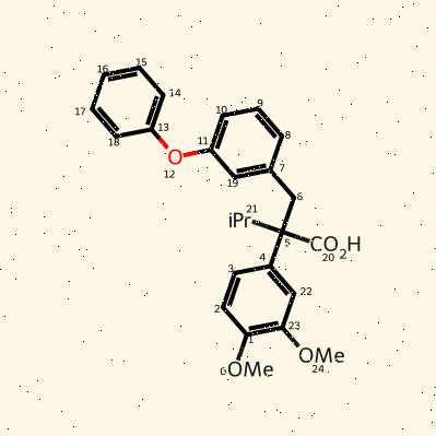 COc1ccc(C(Cc2cccc(Oc3ccccc3)c2)(C(=O)O)C(C)C)cc1OC